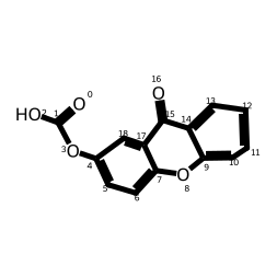 O=C(O)Oc1ccc2oc3ccccc3c(=O)c2c1